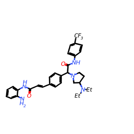 CCN(CC)C1CCN(C(C(=O)Nc2ccc(C(F)(F)F)cc2)c2ccc(C=CC(=O)Nc3ccccc3N)cc2)C1